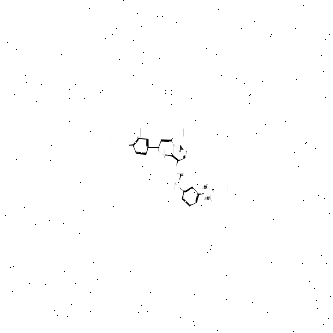 Cc1cc(-c2cc(C(F)(F)F)n3ncc(OC(=O)Nc4cccc(S(C)(=O)=O)c4)c3n2)ccc1C(F)(F)F